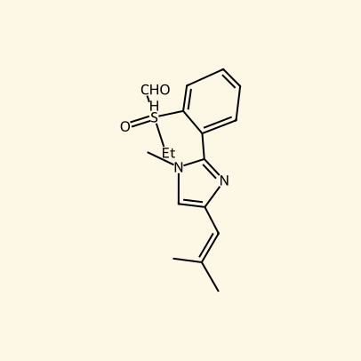 CC[SH](=O)(C=O)c1ccccc1-c1nc(C=C(C)C)cn1C